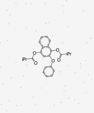 CC(C)C(=O)Oc1cc(Oc2ccccc2)c(OC(=O)C(C)C)c2ccccc12